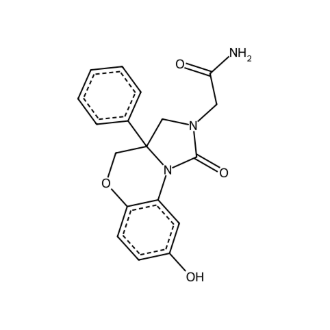 NC(=O)CN1CC2(c3ccccc3)COc3ccc(O)cc3N2C1=O